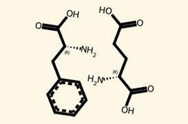 N[C@H](CCC(=O)O)C(=O)O.N[C@H](Cc1ccccc1)C(=O)O